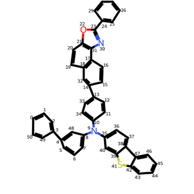 c1ccc(-c2cccc(N(c3ccc(-c4ccc5c(ccc6oc(-c7ccccc7)nc65)c4)cc3)c3ccc4c(c3)sc3ccccc34)c2)cc1